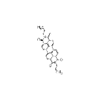 C=CCN1C(=O)c2ccc3c4ccc5c6c(ccc(c7ccc(c2c37)C1=O)c64)C(=O)N(CC=C)C5=O